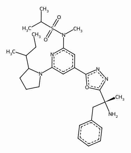 CCC(C)C1CCCN1c1cc(-c2nnc([C@](C)(N)Cc3ccccc3)o2)cc(N(C)S(=O)(=O)C(C)C)n1